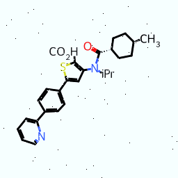 CC(C)N(c1cc(-c2ccc(-c3ccccn3)cc2)sc1C(=O)O)C(=O)[C@H]1CC[C@H](C)CC1